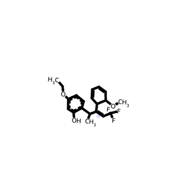 CCOc1ccc(C(C)/C(=C/C(F)(F)F)C2C=CC=CC2OC)c(O)c1